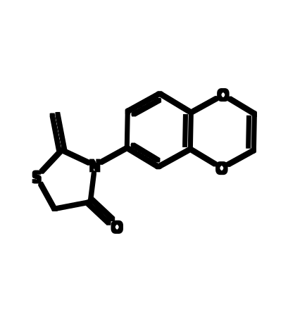 C=C1SCC(=O)N1c1ccc2c(c1)OC=CO2